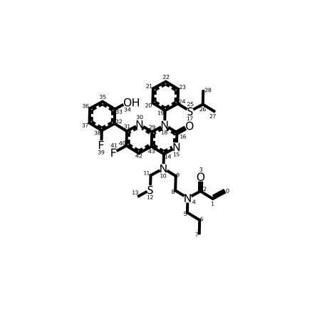 C=CC(=O)N(CCC)CCN(CSC)c1nc(=O)n(-c2ccccc2SC(C)C)c2nc(-c3c(O)cccc3F)c(F)cc12